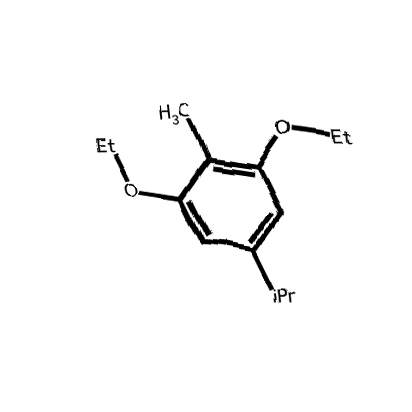 CCOc1cc(C(C)C)cc(OCC)c1C